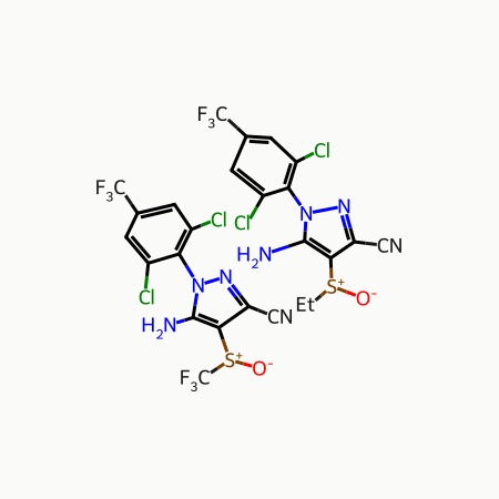 CC[S+]([O-])c1c(C#N)nn(-c2c(Cl)cc(C(F)(F)F)cc2Cl)c1N.N#Cc1nn(-c2c(Cl)cc(C(F)(F)F)cc2Cl)c(N)c1[S+]([O-])C(F)(F)F